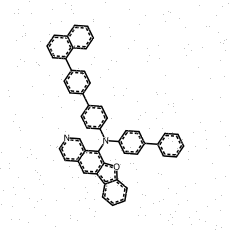 c1ccc(-c2ccc(N(c3ccc(-c4ccc(-c5cccc6ccccc56)cc4)cc3)c3c4cnccc4cc4c3oc3ccccc34)cc2)cc1